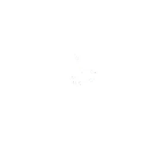 CCl.[O-][S+](Cl)Cl